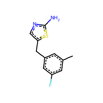 Cc1cc(F)cc(Cc2cnc(N)s2)c1